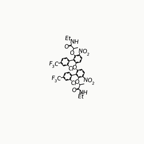 CCNC(=O)C(C)Oc1c([N+](=O)[O-])ccc(Oc2ccc([N+](=O)[O-])c(OC(C)C(=O)NCC)c2-c2ccc(C(F)(F)F)cc2Cl)c1-c1ccc(C(F)(F)F)cc1Cl